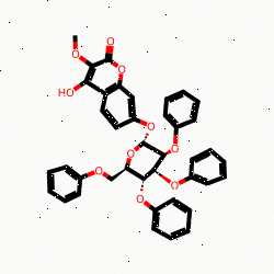 COc1c(O)c2ccc(O[C@H]3O[C@H](COc4ccccc4)[C@@H](Oc4ccccc4)[C@H](Oc4ccccc4)[C@@H]3Oc3ccccc3)cc2oc1=O